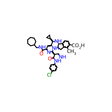 Cc1c(C(=O)O)ccc2c1CC[C@@H]2NC(C1=CC(C(=O)NCC2CCCCCC2)=N/C(=C(/C=N)C(=O)Nc2ccc(Cl)cc2)N1)=C1CC1